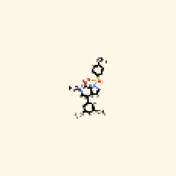 Cc1ccc(S(=O)(=O)n2ccc3c(-c4cc(C)cc(C)c4)cn(C)c(=O)c32)cc1